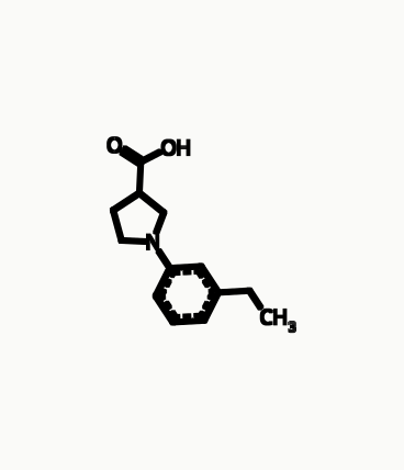 CCc1cccc(N2CCC(C(=O)O)C2)c1